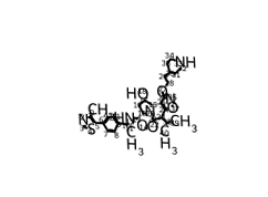 Cc1ncsc1-c1ccc([C@H](C)NC(=O)[C@@H]2C[C@@H](O)CN2C(=O)C(c2cc(OCCC3CCNCC3)no2)C(C)C)cc1